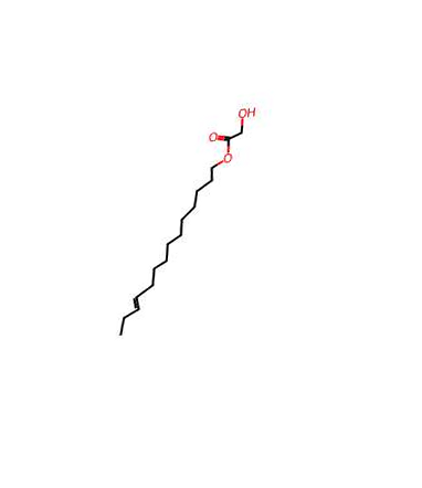 CCC=CCCCCCCCCCCOC(=O)CO